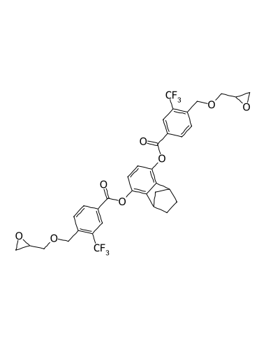 O=C(Oc1ccc(OC(=O)c2ccc(COCC3CO3)c(C(F)(F)F)c2)c2c1C1CCC2C1)c1ccc(COCC2CO2)c(C(F)(F)F)c1